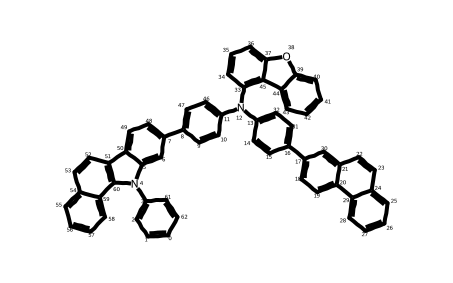 c1ccc(-n2c3cc(-c4ccc(N(c5ccc(-c6ccc7c(ccc8ccccc87)c6)cc5)c5cccc6oc7ccccc7c56)cc4)ccc3c3ccc4ccccc4c32)cc1